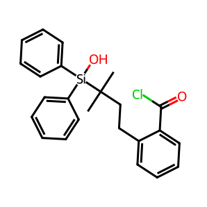 CC(C)(CCc1ccccc1C(=O)Cl)[Si](O)(c1ccccc1)c1ccccc1